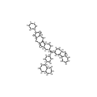 c1ccc(-c2nc3cc4oc5cc(N(c6ccc(-c7cccc8ccccc78)cc6)c6ccc7sc8ccccc8c7c6)ccc5c4cc3o2)cc1